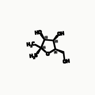 B[C@]1(C)O[C@H](CO)[C@H](O)[C@@H]1O